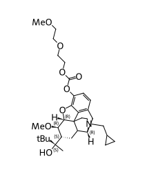 COCCOCCOC(=O)Oc1ccc2c3c1O[C@H]1[C@H](OC)[C@@H]([C@](C)(O)C(C)(C)C)CC4[C@@H](C2)N(CC2CC2)CCC341